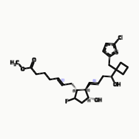 COC(=O)CCC/C=C/C[C@H]1C(F)C[C@@H](O)[C@@H]1/C=C/CC(O)C1(Cc2ccc(Cl)s2)CCC1